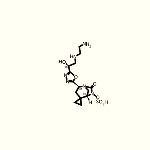 NCCNC[C@H](O)c1nnc([C@@H]2CC3(CC3)[C@@H]3CN2C(=O)N3OS(=O)(=O)O)o1